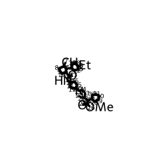 CCc1ccc(-c2c(C)cccc2C(=O)Nc2ccc(N3CCC(C(C(=O)OC)c4ccccc4)CC3)cc2)cc1